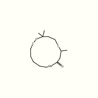 CC1CCCC(C)(C)OCCCCCCNC(=O)C1